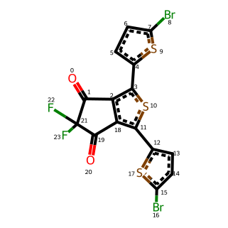 O=C1c2c(-c3ccc(Br)s3)sc(-c3ccc(Br)s3)c2C(=O)C1(F)F